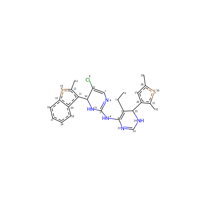 CCC1=C(NC2=NC=C(Cl)C(c3c(C)sc4ccccc34)N2)N=CNC1c1cc(C)sc1C